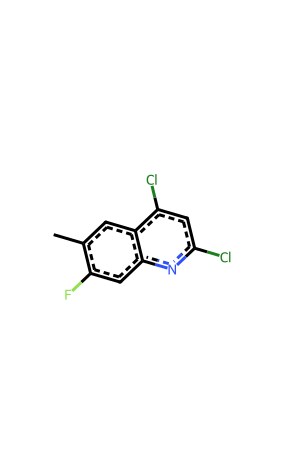 Cc1cc2c(Cl)cc(Cl)nc2cc1F